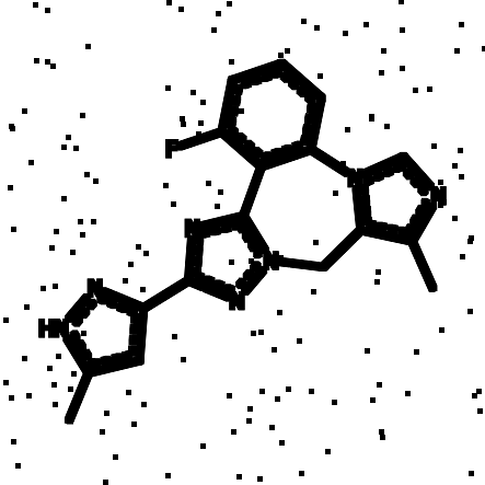 Cc1cc(-c2nc3n(n2)Cc2c(C)ncn2-c2cccc(F)c2-3)n[nH]1